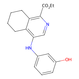 CCOC(=O)c1ncc(Nc2cccc(O)c2)c2c1CCCC2